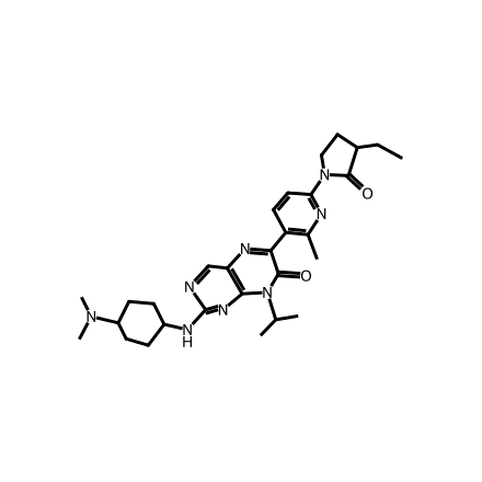 CCC1CCN(c2ccc(-c3nc4cnc(NC5CCC(N(C)C)CC5)nc4n(C(C)C)c3=O)c(C)n2)C1=O